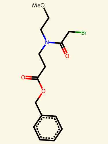 COCCN(CCC(=O)OCc1ccccc1)C(=O)CBr